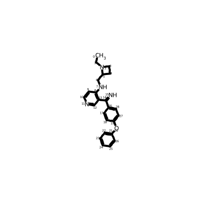 CCN1CCC1CNc1ccncc1C(=N)c1ccc(Oc2ccccc2)cc1